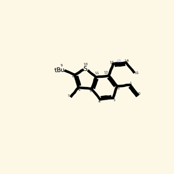 C=Cc1ccc2c(C)c(C(C)(C)C)sc2c1/C=C\C